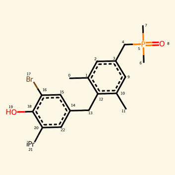 Cc1cc(CP(C)(C)=O)cc(C)c1Cc1cc(Br)c(O)c(C(C)C)c1